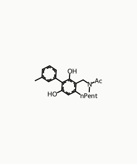 CCCCCc1cc(O)c(-c2cccc(C)c2)c(O)c1CN(C)C(C)=O